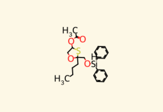 CCCCC1(CO[SiH](c2ccccc2)c2ccccc2)OCC(OC(C)=O)S1